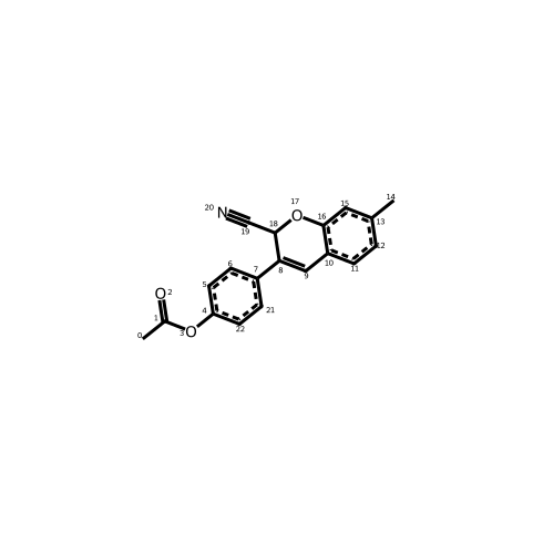 CC(=O)Oc1ccc(C2=Cc3ccc(C)cc3OC2C#N)cc1